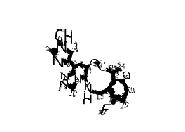 Cn1cnc(-c2cc3c(n4cnnc24)NCc2c(F)ccc4c2[C@@H](CO4)CO3)c1